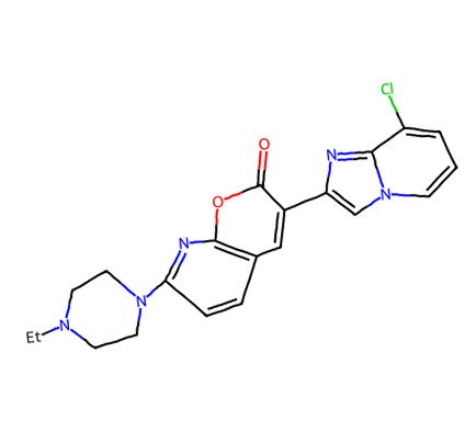 CCN1CCN(c2ccc3cc(-c4cn5cccc(Cl)c5n4)c(=O)oc3n2)CC1